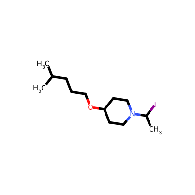 CC(C)CCCOC1CCN(C(C)I)CC1